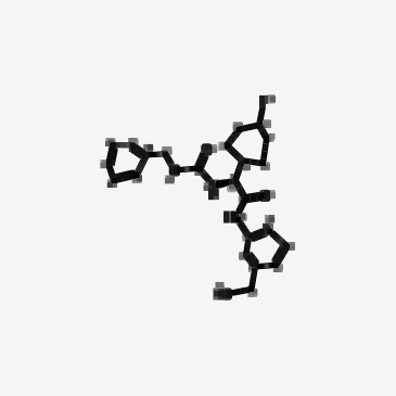 O=C(N[C@H](C(=O)Nc1cc(CO)ccn1)C1CCC(F)CC1)OCc1ccccc1